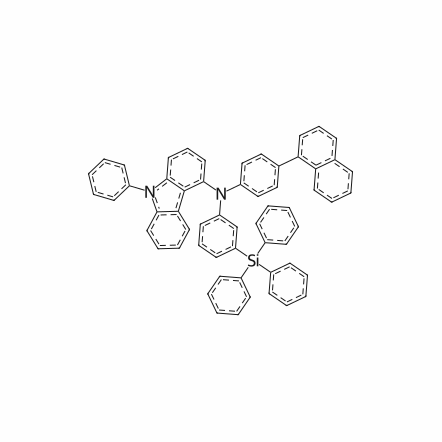 c1ccc(-n2c3ccccc3c3c(N(c4ccc(-c5cccc6ccccc56)cc4)c4cccc([Si](c5ccccc5)(c5ccccc5)c5ccccc5)c4)cccc32)cc1